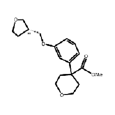 COC(=O)C1(c2cccc(OC[C@@H]3CCOC3)c2)CCOCC1